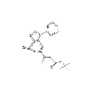 CN(CC(=O)OC(C)(C)C)c1nc(=O)c2scc(-c3ccccc3)c2o1